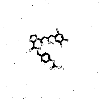 CC(=O)Oc1ccc(CNC(=O)C2SCCN2C(=O)C[C@H](N)Cc2cc(F)c(F)cc2F)cc1